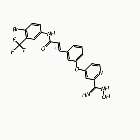 N=C(NO)c1cc(Oc2cccc(/C=C/C(=O)Nc3ccc(Br)c(C(F)(F)F)c3)c2)ccn1